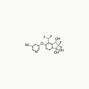 N#Cc1cncc(Oc2ccc3c(c2C(F)F)C(O)C(F)(F)S3(O)O)c1